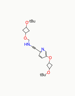 CC(C)(C)OC1CC(OCNC#Cc2ccc(OC3CC(OC(C)(C)C)C3)cn2)C1